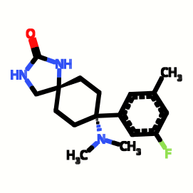 Cc1cc(F)cc([C@]2(N(C)C)CC[C@@]3(CC2)CNC(=O)N3)c1